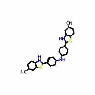 N#CC1CCC2SC(C3CCC(NC4CC=C(C5NC6CCC(C#N)CC6S5)CC4)CC3)NC2C1